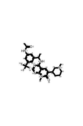 CC(=O)Nc1cc(C(C)Nc2ncnc3c2cc(C2CCCN(C)C2)c(=O)n3C)cc(C(F)(F)F)c1